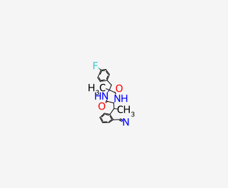 CC(c1ccccc1C#N)C1NC(=O)C(C)(Cc2ccc(F)cc2)NC1=O